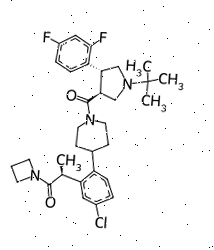 C[C@H](C(=O)N1CCC1)c1cc(Cl)ccc1C1CCN(C(=O)[C@@H]2CN(C(C)(C)C)C[C@H]2c2ccc(F)cc2F)CC1